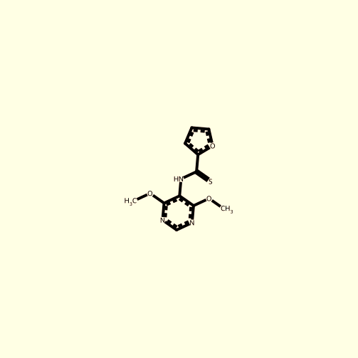 COc1ncnc(OC)c1NC(=S)c1ccco1